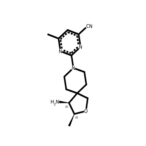 Cc1cc(C#N)nc(N2CCC3(CC2)CO[C@@H](C)[C@H]3N)n1